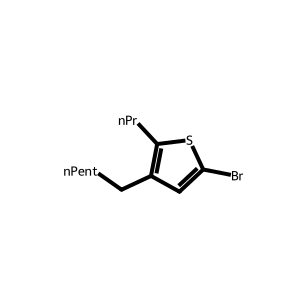 CCCCCCc1cc(Br)sc1CCC